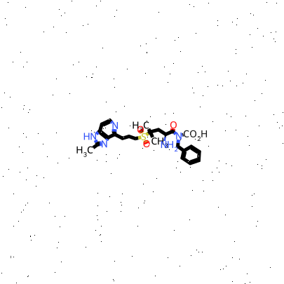 Cc1nc2c(CCCS(=O)(=O)C(C)(C)C[C@H](N)C(=O)N(Cc3ccccc3)C(=O)O)nccc2[nH]1